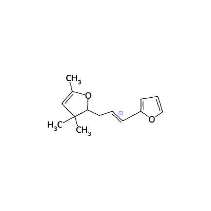 CC1=CC(C)(C)C(C/C=C/c2ccco2)O1